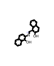 Oc1ccc2ccccc2c1/C=N/c1ccc2ccccc2c1O